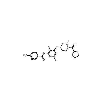 Cc1c(CN2CCN(C(=O)C3CCCC3)[C@@H](C)C2)cc(F)cc1NC(=O)c1ccc(C(F)(F)F)nc1